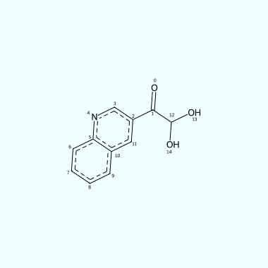 O=C(c1cnc2ccccc2c1)C(O)O